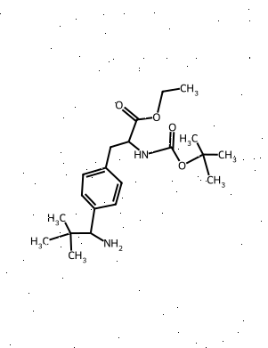 CCOC(=O)C(Cc1ccc(C(N)C(C)(C)C)cc1)NC(=O)OC(C)(C)C